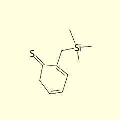 C[Si](C)(C)CC1=CC=CCC1=S